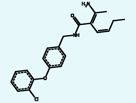 CC/C=C\C(C(=O)NCc1ccc(Oc2ccccc2Cl)cc1)=C(/C)N